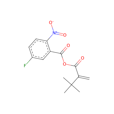 C=C(C(=O)OC(=O)c1cc(F)ccc1[N+](=O)[O-])C(C)(C)C